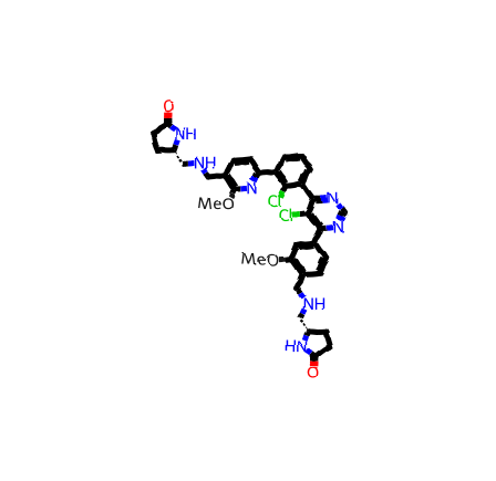 COc1cc(-c2ncnc(-c3cccc(-c4ccc(CNC[C@@H]5CCC(=O)N5)c(OC)n4)c3Cl)c2Cl)ccc1CNC[C@@H]1CCC(=O)N1